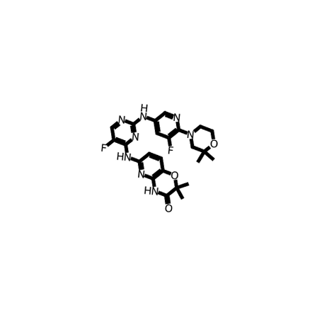 CC1(C)CN(c2ncc(Nc3ncc(F)c(Nc4ccc5c(n4)NC(=O)C(C)(C)O5)n3)cc2F)CCO1